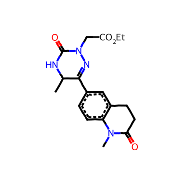 CCOC(=O)CN1N=C(c2ccc3c(c2)CCC(=O)N3C)C(C)NC1=O